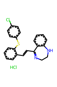 Cl.Clc1ccc(Sc2ccccc2/C=C/C2=NCCNc3ccccc32)cc1